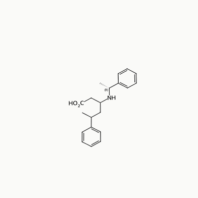 CC(CC(CC(=O)O)N[C@H](C)c1ccccc1)c1ccccc1